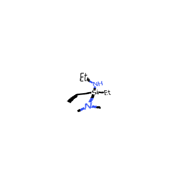 C=C[Si](CC)(NCC)N(C)C